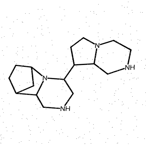 C1CN2CCC(C3CNCC4C5CCC(C5)N43)C2CN1